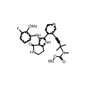 COc1c(F)cccc1Nc1c(-c2ccncc2C#CC(C)(C)N(C)C(=O)OC(C)(C)C)[nH]c2c1C(=O)NCC2